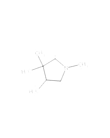 CC1CN(C)CC1(C)C